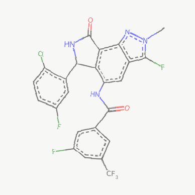 Cn1nc2c3c(c(NC(=O)c4cc(F)cc(C(F)(F)F)c4)cc2c1F)C(c1cc(F)ccc1Cl)NC3=O